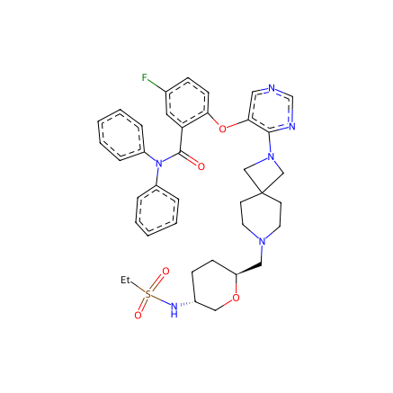 CCS(=O)(=O)N[C@@H]1CC[C@@H](CN2CCC3(CC2)CN(c2ncncc2Oc2ccc(F)cc2C(=O)N(c2ccccc2)c2ccccc2)C3)OC1